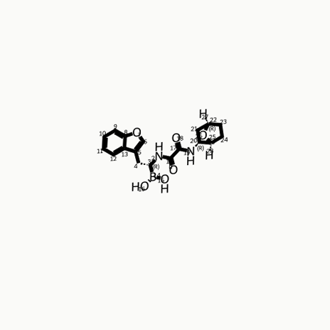 O=C(N[C@@H](Cc1coc2ccccc12)B(O)O)C(=O)N[C@@H]1C[C@H]2CC[C@@H]1O2